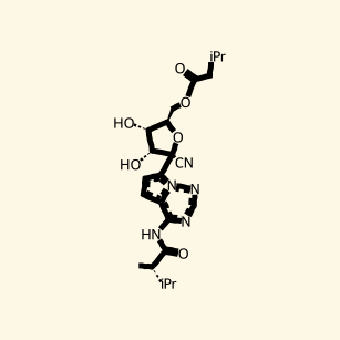 CC(C)CC(=O)OC[C@H]1O[C@@](C#N)(c2ccc3c(NC(=O)[C@@H](C)C(C)C)ncnn23)[C@H](O)[C@@H]1O